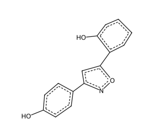 Oc1ccc(-c2cc(-c3ccccc3O)on2)cc1